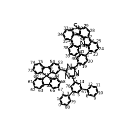 c1ccc(-c2cc(-c3ccccc3)cc(-c3nc(-c4ccc(-c5cccc6c7ccc8sc9cccc%10c%11ccccc%11n(c56)c7c8c9%10)cc4)nc(-c4ccc5c(c4)C4(c6ccccc6-c6ccccc64)c4ccccc4-5)n3)c2)cc1